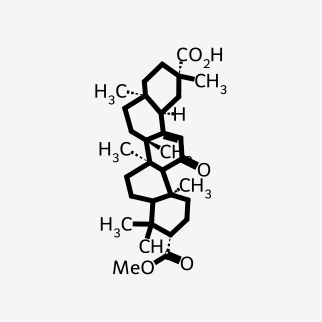 COC(=O)[C@H]1CC[C@@]2(C)C(CC[C@]3(C)C2C(=O)C=C2[C@@H]4C[C@@](C)(C(=O)O)CC[C@]4(C)CC[C@]23C)C1(C)C